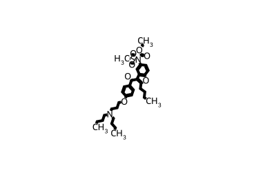 CCCCc1oc2ccc(N(C(=O)OCC)S(C)(=O)=O)cc2c1C(=O)c1ccc(OCCCN(CCCC)CCCC)cc1